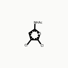 CC(=O)Nc1cc(Cl)c(Cl)s1